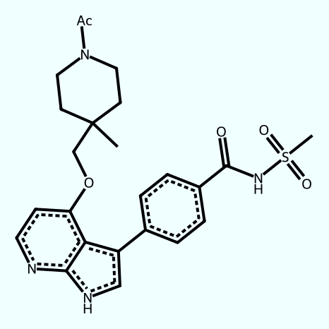 CC(=O)N1CCC(C)(COc2ccnc3[nH]cc(-c4ccc(C(=O)NS(C)(=O)=O)cc4)c23)CC1